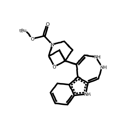 CC(C)(C)OC(=O)N1CCC2(C3=CNNC=c4[nH]c5c(c43)CC=CC=5)CC1O2